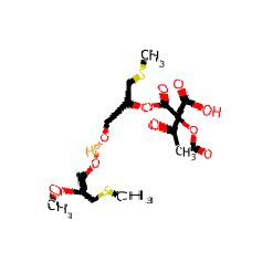 COC(COPOCC(CSC)OC(=O)C(OC=O)(C(C)=O)C(=O)O)CSC